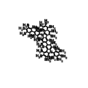 Bc1c(B)c(B)c(-c2c(B)c(B)c(-n3c4c(B)c(B)c(-c5c(B)c(B)c6c(c5B)c5c(B)c(B)c(B)c(B)c5n6-c5c(B)c(B)c(B)c(B)c5B)c(B)c4c4c(B)c(B)c5c(B)c(B)c(B)c(B)c5c43)c(B)c2B)c(B)c1B